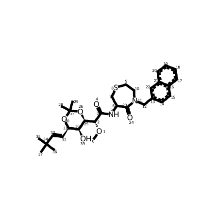 CO[C@@H](C(=O)NC1CSCCN(Cc2ccc3ccccc3c2)C1=O)[C@@H]1OC(C)(C)O[C@H](/C=C/C(C)(C)C)[C@@H]1O